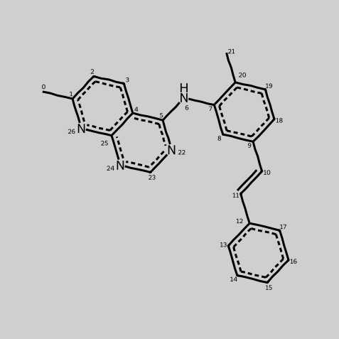 Cc1ccc2c(Nc3cc(C=Cc4ccccc4)ccc3C)ncnc2n1